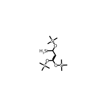 C[Si](C)(C)OC(=CC([SiH3])O[Si](C)(C)C)O[Si](C)(C)C